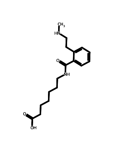 CNCCc1ccccc1C(=O)NCCCCCCC(=O)O